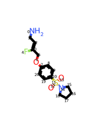 NCC=C(F)COc1ccc(S(=O)(=O)N2CCCC2)cc1